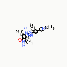 CCn1nc(-c2ccc(C3CCN(C)CC3)cc2C)nc1Nc1cc2c(cc1C)C(=O)NC2C